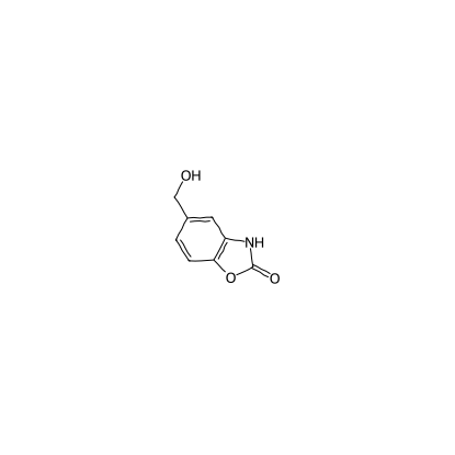 O=c1[nH]c2cc(CO)ccc2o1